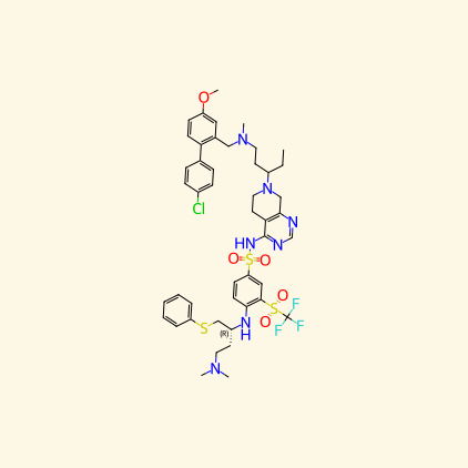 CCC(CCN(C)Cc1cc(OC)ccc1-c1ccc(Cl)cc1)N1CCc2c(ncnc2NS(=O)(=O)c2ccc(N[C@H](CCN(C)C)CSc3ccccc3)c(S(=O)(=O)C(F)(F)F)c2)C1